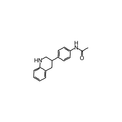 CC(=O)Nc1ccc(C2CNc3ccccc3C2)cc1